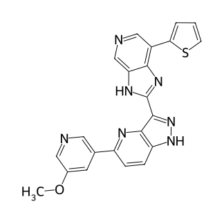 COc1cncc(-c2ccc3[nH]nc(-c4nc5c(-c6cccs6)cncc5[nH]4)c3n2)c1